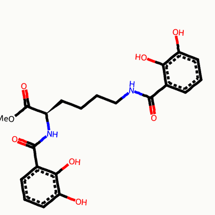 COC(=O)[C@@H](CCCCNC(=O)c1cccc(O)c1O)NC(=O)c1cccc(O)c1O